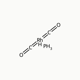 O=[C]=[RhH]=[C]=O.P